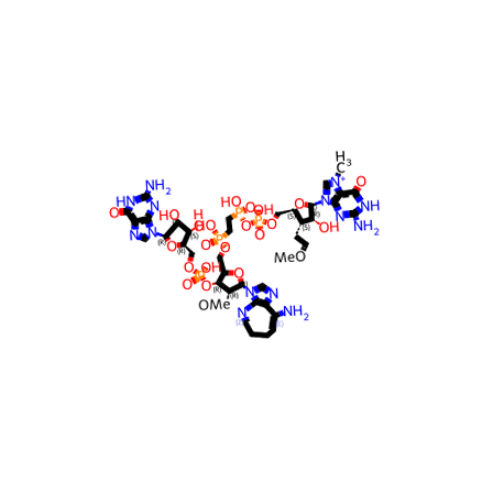 COCC[C@H]1[C@@H](O)[C@H](n2c[n+](C)c3c(=O)[nH]c(N)nc32)O[C@@H]1COP(=O)(O)OP(=O)(O)CCP(=O)(O)OCC1O[C@@H](n2cnc3c2/N=C\CC/C=C\3N)[C@H](OC)[C@@H]1OP(=O)(O)OC[C@H]1O[C@@H](n2cnc3c(=O)[nH]c(N)nc32)[C@H](O)[C@@H]1O